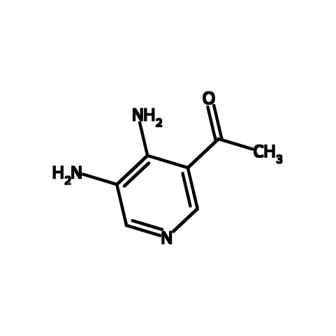 CC(=O)c1cncc(N)c1N